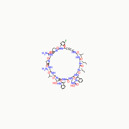 CCCC[C@H]1C(=O)N(C)[C@@H](CCCC)C(=O)N[C@@H](CC(C)C)C(=O)NCCCCC(=O)N[C@@H](Cc2ccc(F)cc2)C(=O)N2CCCC[C@H]2C(=O)N[C@@H](CC(N)=O)C(=O)N2CCC[C@H]2C(=O)N[C@@H](CN)C(=O)N[C@@H](CC(C)C)C(=O)N2C[C@H](O)C[C@H]2C(=O)N[C@@H](Cc2c[nH]c3ccccc23)C(=O)N[C@@H](CCN)C(=O)N[C@@H](Cc2cn(CC(=O)O)c3ccccc23)C(=O)N1C